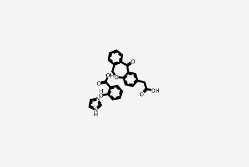 O=C(O)Cc1ccc2c(c1)C(=O)c1ccccc1CO2.O=C(O)c1ccccc1O.c1c[nH]cn1